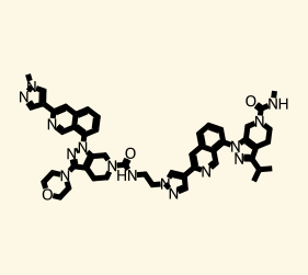 CNC(=O)N1CCc2c(C(C)C)nn(-c3cccc4cc(-c5cnn(CCNC(=O)N6CCc7c(N8CCOCC8)nn(-c8cccc9cc(-c%10cnn(C)c%10)ncc89)c7C6)c5)ncc34)c2C1